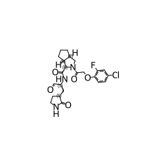 O=C[C@H](C[C@@H]1CCNC1=O)NC(=O)[C@H]1[C@@H]2CCC[C@H]2CN1C(=O)COc1ccc(Cl)cc1F